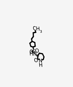 CCCCCC1CCC(S(=O)(=O)N[C@H]2CCCCNC2=O)CC1